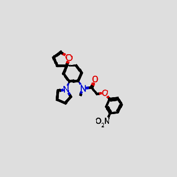 CN(C(=O)COc1cccc([N+](=O)[O-])c1)[C@@H]1CC[C@]2(CCCO2)C[C@@H]1N1CCCC1